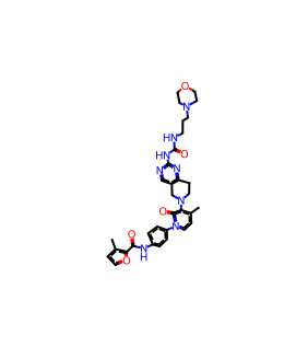 Cc1ccoc1C(=O)Nc1ccc(-n2ccc(C)c(N3CCc4nc(NC(=O)NCCCN5CCOCC5)ncc4C3)c2=O)cc1